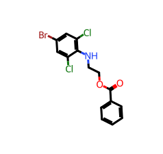 O=C(OCCNc1c(Cl)cc(Br)cc1Cl)c1ccccc1